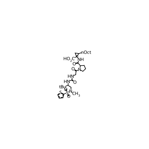 CCCCCCCCC1C[C@]1(NC(=O)C1CCCN1C(=O)CNC(=O)NC(CN(C)S(=O)(=O)c1cccs1)C(C)(C)C)C(=O)O